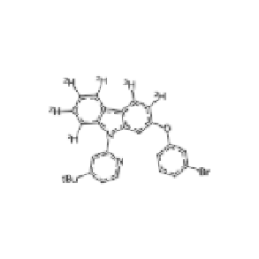 [2H]c1c(Oc2cccc(Br)c2)cc2c(c1[2H])c1c([2H])c([2H])c([2H])c([2H])c1n2-c1cc(C(C)(C)C)ccn1